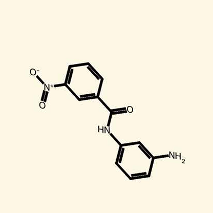 Nc1cccc(NC(=O)c2cccc([N+](=O)[O-])c2)c1